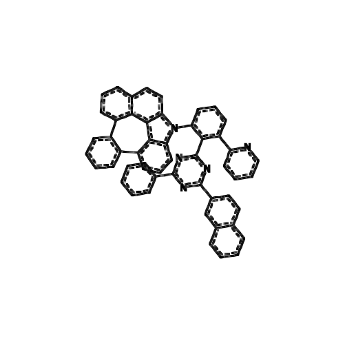 c1ccc(-c2nc(-c3ccc4ccccc4c3)nc(-c3c(-c4ccccn4)cccc3-n3c4cccc5c4c4c6c(cccc6ccc43)-c3ccccc3-5)n2)cc1